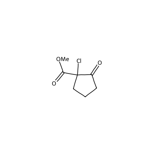 COC(=O)C1(Cl)CCCC1=O